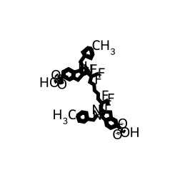 Cc1ccc(Cn2nc(C(CCCCCC(c3nn(Cc4ccc(C)cc4)c4c3Cc3cc(S(=O)(=O)O)ccc3-4)C(F)(F)F)C(F)(F)F)c3c2-c2ccc(S(=O)(=O)O)cc2C3)cc1